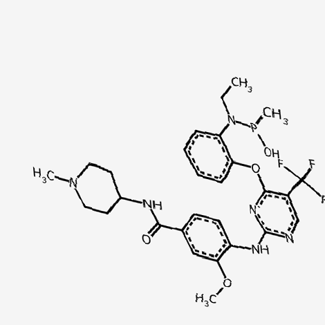 CCN(c1ccccc1Oc1nc(Nc2ccc(C(=O)NC3CCN(C)CC3)cc2OC)ncc1C(F)(F)F)P(C)O